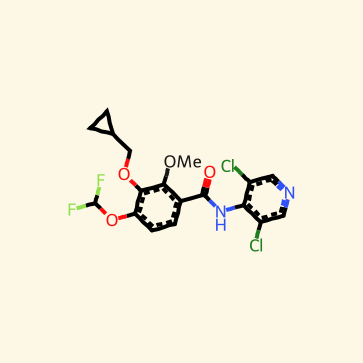 COc1c(C(=O)Nc2c(Cl)cncc2Cl)ccc(OC(F)F)c1OCC1CC1